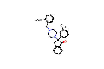 COc1ccccc1CN1CCN(C2(c3cccc(C)c3)Cc3ccccc3C2=O)CC1